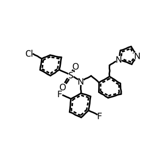 O=S(=O)(c1ccc(Cl)cc1)N(Cc1ccccc1Cn1ccnc1)c1cc(F)ccc1F